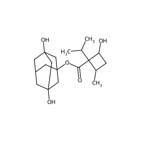 CC(C)C1(C(=O)OC23CC4CC(O)(CC(O)(C4)C2)C3)C(C)CC1O